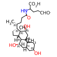 C[C@H](CCC(=O)NC(CC[C]=O)C(=O)O)[C@H]1CC[C@H]2[C@@H]3[C@H](O)C[C@@H]4C[C@H](O)CC[C@]4(C)[C@H]3C[C@H](O)[C@]12C